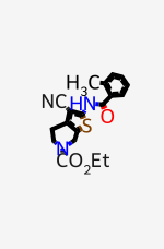 CCOC(=O)N1CCc2c(sc(NC(=O)c3ccccc3C)c2C#N)C1